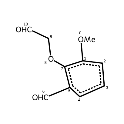 COc1cccc(C=O)c1OCC=O